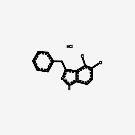 Cl.Clc1ccc2[nH]nc(Cc3ccccc3)c2c1Cl